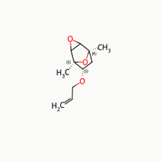 C=CCO[C@H]1C[C@@]2(C)O[C@]1(C)C1OC12